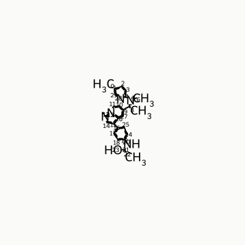 Cc1ccc(N(C)C(C)c2ccn3ncc(-c4ccc(NC(C)O)cc4)c3c2)nc1